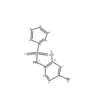 O=S(=O)(Nc1ccc(Br)cc1Cl)c1ccccc1